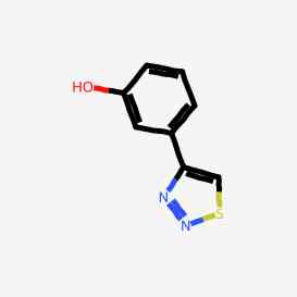 Oc1cccc(-c2csnn2)c1